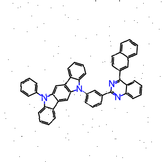 c1ccc(-n2c3ccccc3c3cc4c(cc32)c2ccccc2n4-c2cccc(-c3nc(-c4ccc5ccccc5c4)c4ccccc4n3)c2)cc1